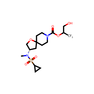 CN([C@@H]1COC2(CCN(C(=O)OC(CO)C(F)(F)F)CC2)C1)S(=O)(=O)C1CC1